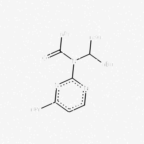 CCCCC(CCCC)N(C(=O)CCC)c1nccc(CCC)n1